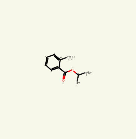 CCCCCCCCCC(OC(=O)c1ccccc1C(=O)O)C(C)C